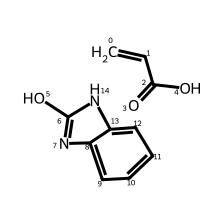 C=CC(=O)O.Oc1nc2ccccc2[nH]1